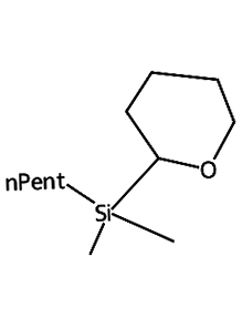 CCCCC[Si](C)(C)C1CCCCO1